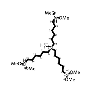 CO[SiH](CCCCCC[Si](C)(CCCCCC[SiH](OC)OC)CCCCCC[SiH](OC)OC)OC